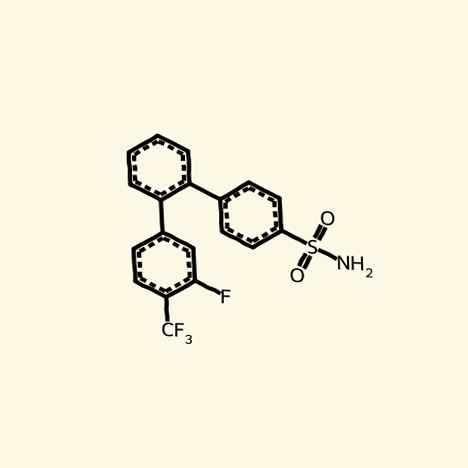 NS(=O)(=O)c1ccc(-c2ccccc2-c2ccc(C(F)(F)F)c(F)c2)cc1